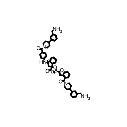 NCc1cccc(C2CCN(C(=O)c3ccc(NC(=O)CC4(c5ccccc5)OB(c5cc6c(C(=O)N7CCC(c8cccc(CN)c8)CC7)cccc6o5)OC4=O)cc3)CC2)c1